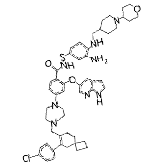 Nc1cc(SNC(=O)c2ccc(N3CCN(CC4=C(c5ccc(Cl)cc5)CC5(CCC5)CC4)CC3)cc2Oc2cnc3[nH]ccc3c2)ccc1NCC1CCN(C2CCOCC2)CC1